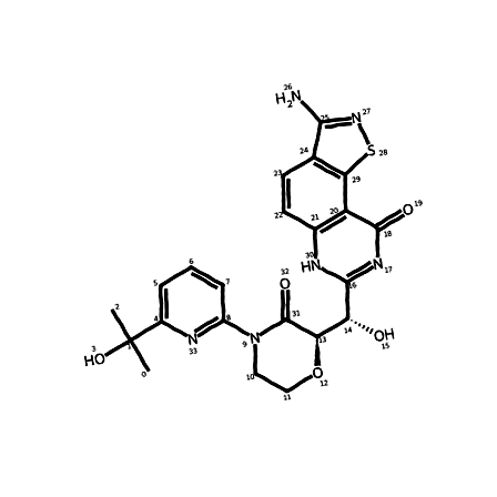 CC(C)(O)c1cccc(N2CCO[C@H]([C@@H](O)c3nc(=O)c4c(ccc5c(N)nsc54)[nH]3)C2=O)n1